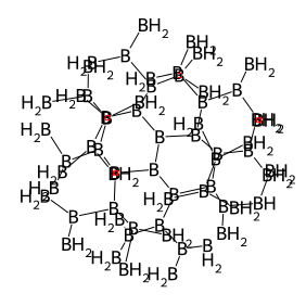 BBB(B)B(B(B)B)B(B(B(B)B)B(B)B)B(B(B(B(B)B)B(B)B)B(B(B)B)B(B)B)B(B(B(B(B)B)B(B)B)B(B(B)B)B(B)B)B(B(B(B)B)B(B)B)B(B(B)B)B(B)B